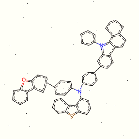 c1ccc(-n2c3cc(-c4ccc(N(c5ccc(-c6ccc7oc8ccccc8c7c6)cc5)c5cccc6sc7ccccc7c56)cc4)ccc3c3ccc4ccccc4c32)cc1